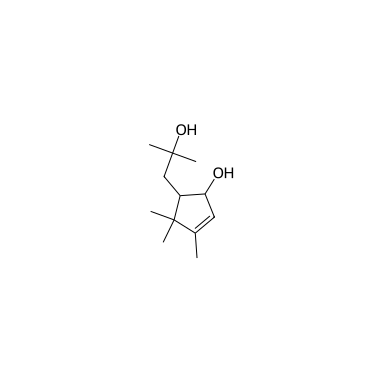 CC1=CC(O)C(CC(C)(C)O)C1(C)C